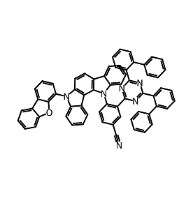 N#Cc1ccc(-n2c3ccccc3c3ccc4c(c5ccccc5n4-c4cccc5c4oc4ccccc45)c32)c(-c2nc(-c3ccccc3-c3ccccc3)nc(-c3ccccc3-c3ccccc3)n2)c1